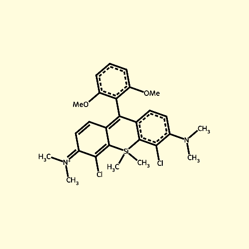 COc1cccc(OC)c1C1=C2C=CC(=[N+](C)C)C(Cl)=C2[Si](C)(C)c2c1ccc(N(C)C)c2Cl